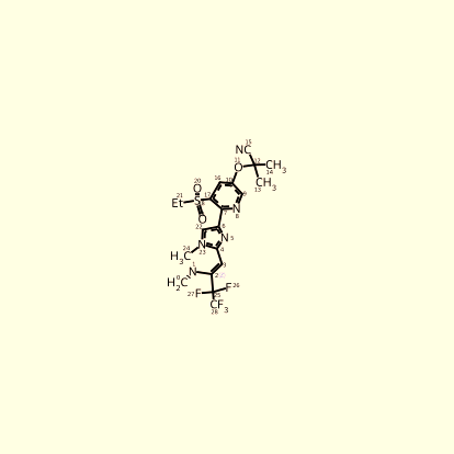 C=N/C(=C\c1nc(-c2ncc(OC(C)(C)C#N)cc2S(=O)(=O)CC)cn1C)C(F)(F)C(F)(F)F